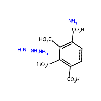 N.N.N.N.O=C(O)c1ccc(C(=O)O)c(C(=O)O)c1C(=O)O